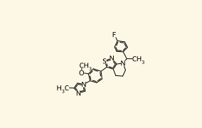 COc1cc(-c2snc3c2CCCN3C(C)c2ccc(F)cc2)ccc1-n1cnc(C)c1